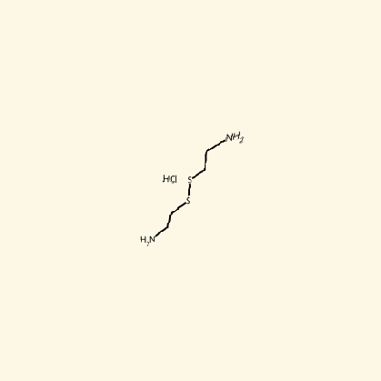 Cl.NCCSSCCN